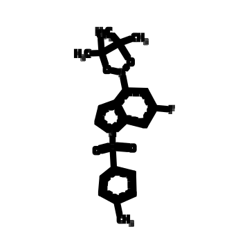 Cc1ccc(S(=O)(=O)n2ccc3c(B4OC(C)(C)C(C)(C)O4)cc(F)cc32)cc1